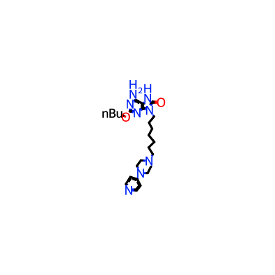 CCCCOc1nc(N)c2[nH]c(=O)n(CCCCCCCN3CCN(c4ccncc4)CC3)c2n1